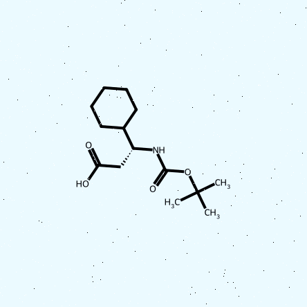 CC(C)(C)OC(=O)N[C@H](CC(=O)O)C1CCCCC1